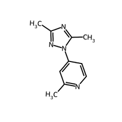 Cc1cc(-n2nc(C)nc2C)ccn1